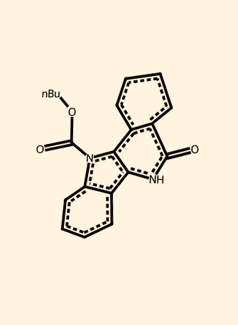 CCCCOC(=O)n1c2ccccc2c2[nH]c(=O)c3ccccc3c21